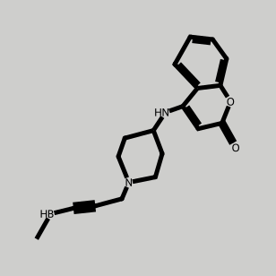 CBC#CCN1CCC(Nc2cc(=O)oc3ccccc23)CC1